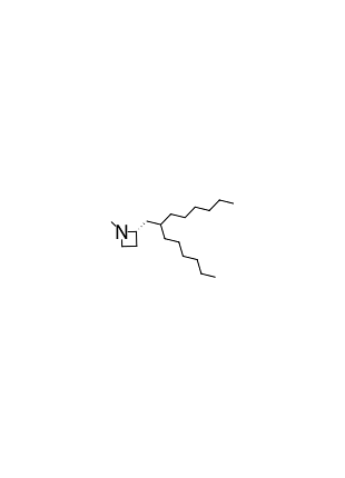 CCCCCCC(CCCCCC)C[C@@H]1CCN1C